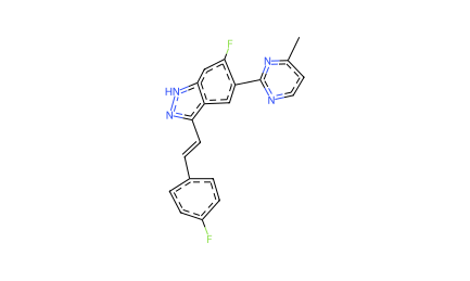 Cc1ccnc(-c2cc3c(C=Cc4ccc(F)cc4)n[nH]c3cc2F)n1